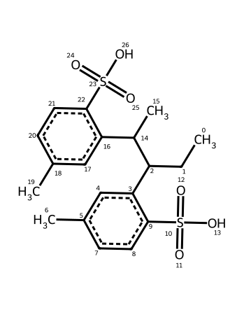 CCC(c1cc(C)ccc1S(=O)(=O)O)C(C)c1cc(C)ccc1S(=O)(=O)O